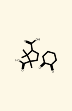 CC1(C(=O)O)CCC(C(=O)O)C1(C)C.O=C1CCCCC1=O